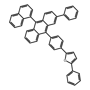 c1ccc(-c2ccc3c(-c4cccc5ccccc45)c4ccccc4c(-c4ccc(-c5ccc(-c6ccccc6)o5)cc4)c3c2)cc1